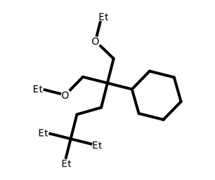 CCOCC(CCC(CC)(CC)CC)(COCC)C1CCCCC1